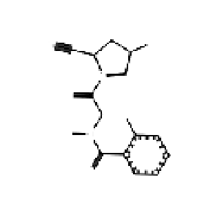 CC1CC(C#N)N(C(=O)CN(C)C(=O)c2ccccc2Cl)C1